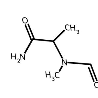 CC(C(N)=O)N(C)C=O